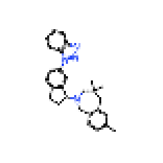 Cc1ccc2c(c1)CC(C)(C)CN(C1CCc3ccc(-n4nnc5ccccc54)cc31)C2